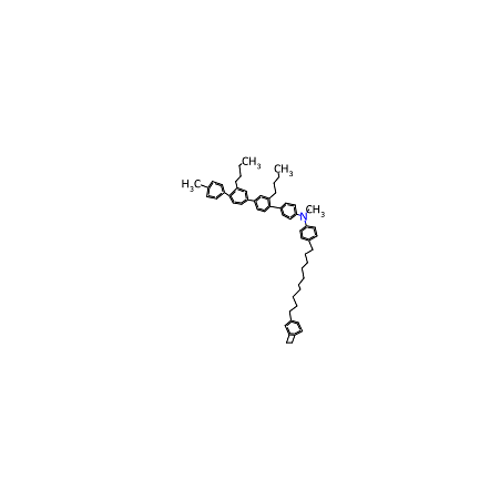 CCCCc1cc(-c2ccc(-c3ccc(N(C)c4ccc(CCCCCCCCCCc5ccc6c(c5)CC6)cc4)cc3)c(CCCC)c2)ccc1-c1ccc(C)cc1